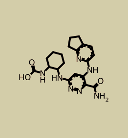 NC(=O)c1nnc(NC2CCCCC2NC(=O)O)cc1Nc1ccc2c(n1)CCC2